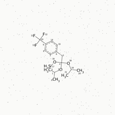 CC(C)OC(Cc1ccc(C(F)(F)F)cc1)(O[SiH3])OC(C)C